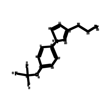 FC(F)(F)Oc1ccc(-n2ccc(CCBr)n2)cc1